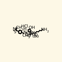 Cc1ncsc1-c1ccc([C@H](C)NC(=O)[C@@H]2C[C@H](O)CN2C(=O)[C@@H](NC(=O)CCCCN)C(C)(C)C)cc1.Cl